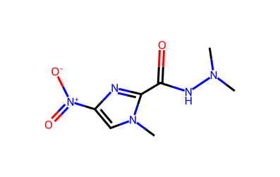 CN(C)NC(=O)c1nc([N+](=O)[O-])cn1C